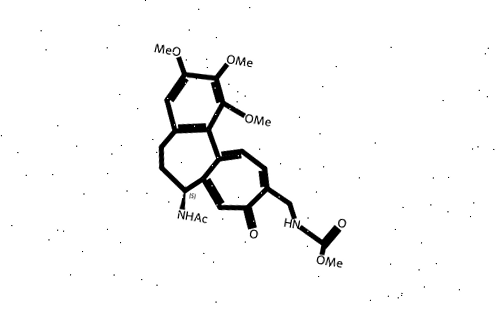 COC(=O)NCc1ccc2c(cc1=O)[C@@H](NC(C)=O)CCc1cc(OC)c(OC)c(OC)c1-2